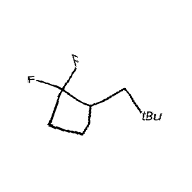 CC(C)(C)CC1CCC1(F)F